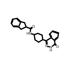 O=C(NC1CCC(c2n[nH]c(=O)c3ccccc23)CC1)C1Cc2ccccc2C1